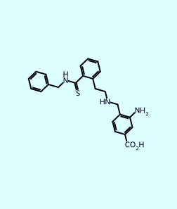 Nc1cc(C(=O)O)ccc1CNCCc1ccccc1C(=S)NCc1ccccc1